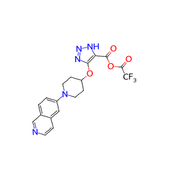 O=C(OC(=O)C(F)(F)F)c1[nH]nnc1OC1CCN(c2ccc3cnccc3c2)CC1